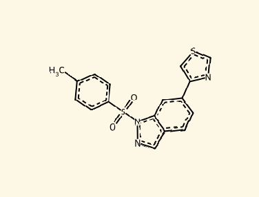 Cc1ccc(S(=O)(=O)n2ncc3ccc(-c4cscn4)cc32)cc1